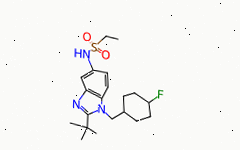 CCS(=O)(=O)Nc1ccc2c(c1)nc(C(C)(C)C)n2CC1CCC(F)CC1